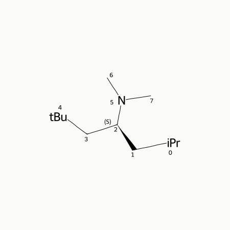 CC(C)C[C@@H](CC(C)(C)C)N(C)C